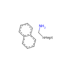 CCCCCCCCN.c1ccc2ccccc2c1